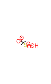 COC(=O)C(C)(C)SOOO